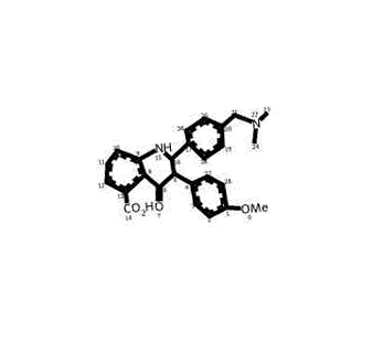 COc1ccc(C2C(=O)c3c(cccc3C(=O)O)NC2c2ccc(CN(C)C)cc2)cc1